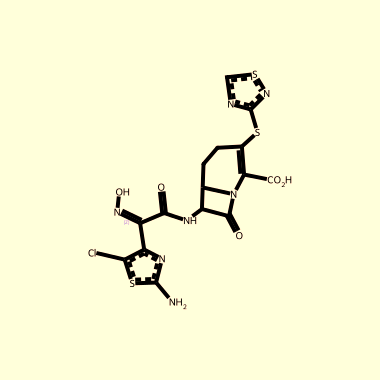 Nc1nc(/C(=N/O)C(=O)NC2C(=O)N3C(C(=O)O)=C(Sc4ncsn4)CCC23)c(Cl)s1